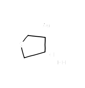 C1CCSC1.[Au].[Cl-].[HH]